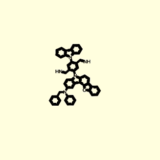 N=Cc1cc(-n2c3ccc(N(Cc4ccccc4)c4ccccc4)cc3c3c4oc5ccccc5c4ccc32)c(C=N)cc1-n1c2ccccc2c2ccccc21